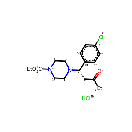 CCOC(=O)N1CCN([C@@H](CC(=O)CC)c2ccc(Cl)cc2)CC1.Cl